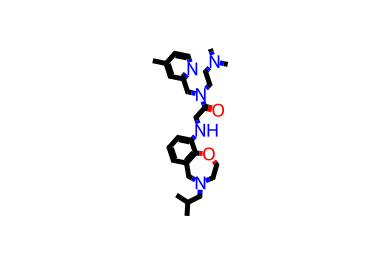 Cc1ccnc(CN(CCN(C)C)C(=O)CNc2cccc3c2OCCN(CC(C)C)C3)c1